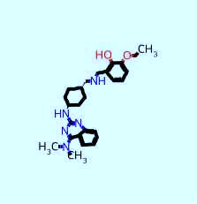 CCOc1cccc(CNC[C@H]2CC[C@@H](Nc3nc(N(C)C)c4ccccc4n3)CC2)c1O